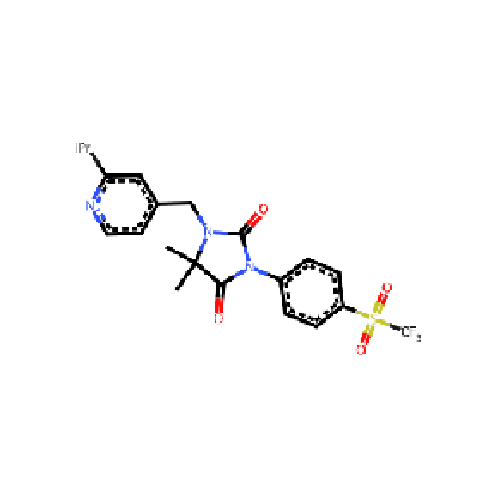 CC(C)c1cc(CN2C(=O)N(c3ccc(S(=O)(=O)C(F)(F)F)cc3)C(=O)C2(C)C)ccn1